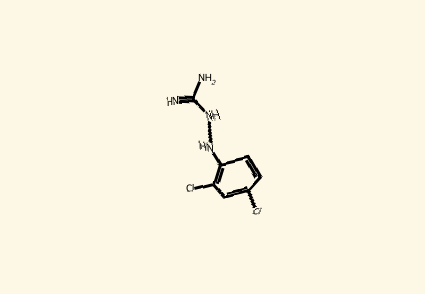 N=C(N)NNc1ccc(Cl)cc1Cl